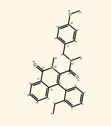 CCc1ccccc1-c1c(C(=O)N(C)Cc2ccc(OC)cc2)n(C)c(=O)c2ccccc12